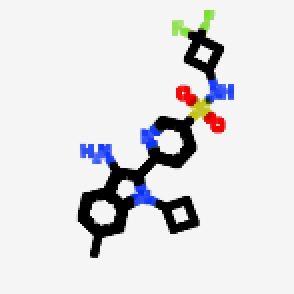 Cc1ccc2c(N)c(-c3ccc(S(=O)(=O)NC4CC(F)(F)C4)cn3)n(C3CCC3)c2c1